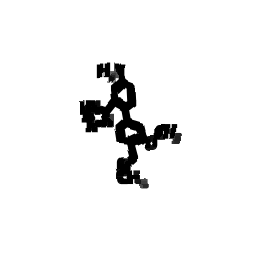 COCc1ccc(-c2ccc(N)cc2-c2nnn[nH]2)cc1OC